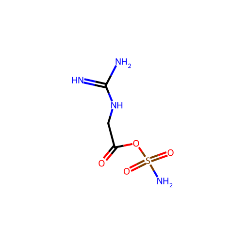 N=C(N)NCC(=O)OS(N)(=O)=O